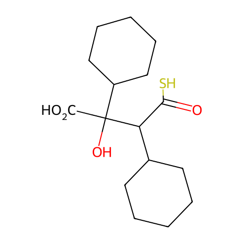 O=C(S)C(C1CCCCC1)C(O)(C(=O)O)C1CCCCC1